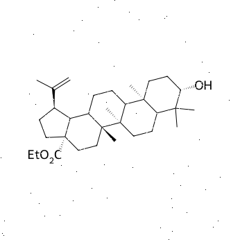 C=C(C)[C@@H]1CC[C@]2(C(=O)OCC)CC[C@]3(C)C(CCC4[C@@]5(C)CC[C@H](O)C(C)(C)C5CC[C@]43C)C12